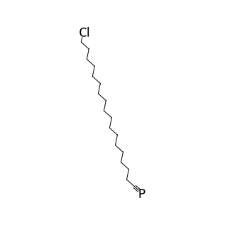 P#CCCCCCCCCCCCCCCCCCCl